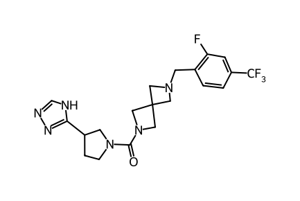 O=C(N1CCC(c2nnc[nH]2)C1)N1CC2(CN(Cc3ccc(C(F)(F)F)cc3F)C2)C1